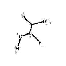 [2H]OB(F)C([3H])B